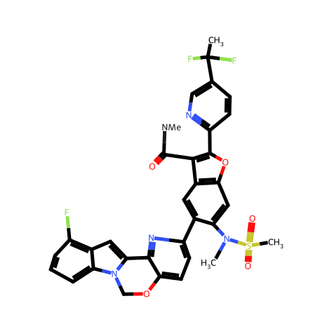 CNC(=O)c1c(-c2ccc(C(C)(F)F)cn2)oc2cc(N(C)S(C)(=O)=O)c(-c3ccc4c(n3)-c3cc5c(F)cccc5n3CO4)cc12